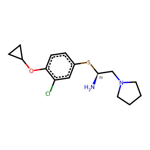 N[C@H](CN1CCCC1)Sc1ccc(OC2CC2)c(Cl)c1